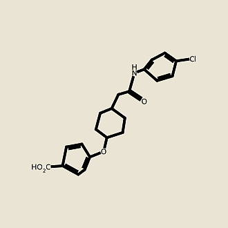 O=C(CC1CCC(Oc2ccc(C(=O)O)cc2)CC1)Nc1ccc(Cl)cc1